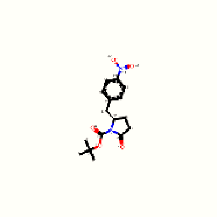 CC(C)(C)OC(=O)N1C(=O)CC[C@@H]1Cc1ccc([N+](=O)[O-])cc1